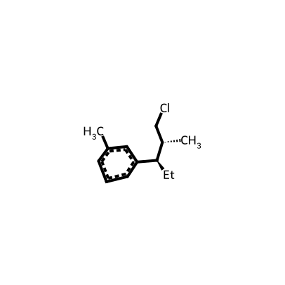 CC[C@@H](c1cccc(C)c1)[C@@H](C)CCl